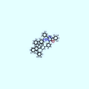 C1=CC(c2cccc(C3=c4oc5ccccc5c4=NC(c4ccccc4)N3)c2)CC2=C1c1c(cc3ccccc3c1-c1ccccc1)C2(c1ccccc1)c1ccccc1